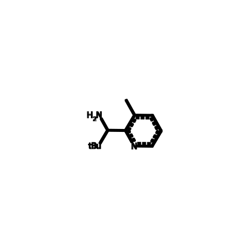 Cc1cccnc1C(N)C(C)(C)C